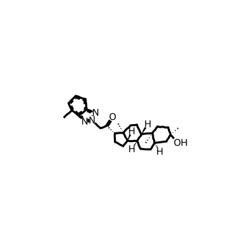 Cc1cccc2nn(CC(=O)[C@H]3CC[C@H]4[C@@H]5CC[C@@H]6C[C@](C)(O)CC[C@]6(C)[C@H]5CC[C@]34C)nc12